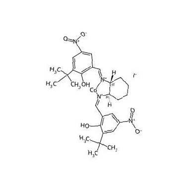 CC(C)(C)c1cc([N+](=O)[O-])cc(C=[N+]2[Co][N+](=Cc3cc([N+](=O)[O-])cc(C(C)(C)C)c3O)[C@@H]3CCCC[C@H]32)c1O.[I-]